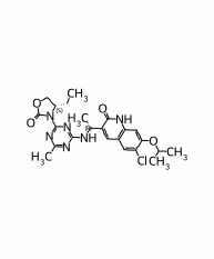 CC[C@H]1COC(=O)N1c1nc(C)nc(N[C@H](C)c2cc3cc(Cl)c(OC(C)C)cc3[nH]c2=O)n1